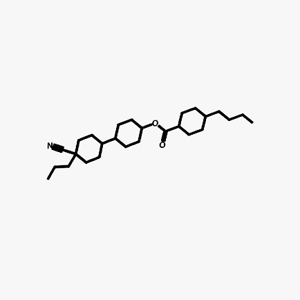 CCCCC1CCC(C(=O)OC2CCC(C3CCC(C#N)(CCC)CC3)CC2)CC1